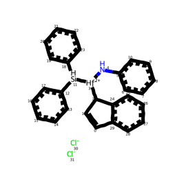 C1=C[CH]([Hf+2]([NH]c2ccccc2)[SiH](c2ccccc2)c2ccccc2)c2ccccc21.[Cl-].[Cl-]